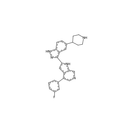 Fc1cccc(-c2cncc3[nH]c(-c4n[nH]c5ccc(C6CCNCC6)cc45)cc23)c1